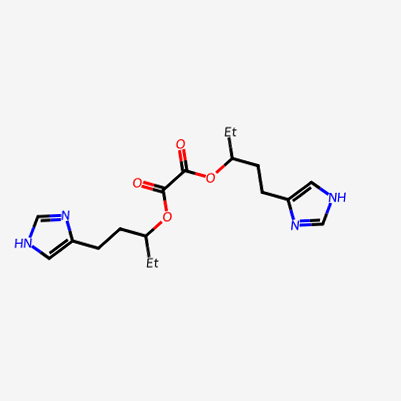 CCC(CCc1c[nH]cn1)OC(=O)C(=O)OC(CC)CCc1c[nH]cn1